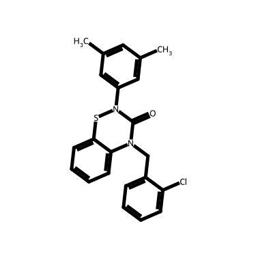 Cc1cc(C)cc(N2Sc3ccccc3N(Cc3ccccc3Cl)C2=O)c1